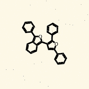 c1ccc(-c2cc(-c3oc(-c4ccccc4)c4ccccc34)c(-c3ccccc3)o2)cc1